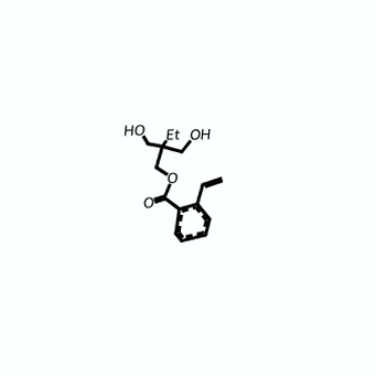 C=Cc1ccccc1C(=O)OCC(CC)(CO)CO